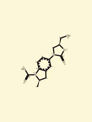 C[C@@H]1Cc2cc(N3C[C@@H](CO)OC3=O)ccc2N1C(=O)O